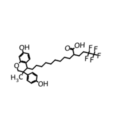 CC1(c2ccc(O)cc2)COc2cc(O)ccc2C1CCCCCCCCCC(CCC(F)(F)C(F)(F)F)C(=O)O